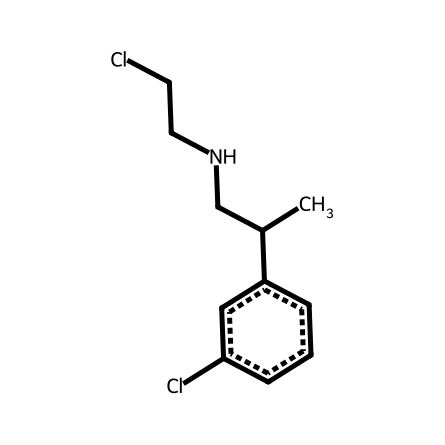 CC(CNCCCl)c1cccc(Cl)c1